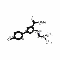 COC(=O)c1cc(-c2ccc(Cl)cc2)cn1/N=C/N(C)C